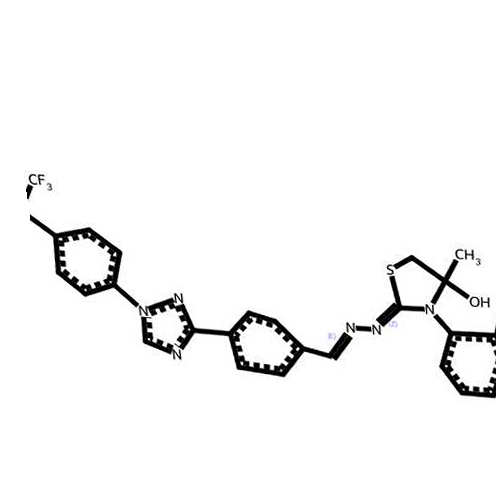 Cc1ccccc1N1/C(=N/N=C/c2ccc(-c3ncn(-c4ccc(OC(F)(F)F)cc4)n3)cc2)SCC1(C)O